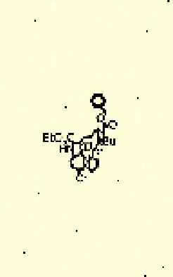 CCOC(=O)C(CCCCNC(=O)OCc1ccccc1)NC1CCC(=O)N2CCCC(C(=O)OC(C)(C)C)N2C1=O